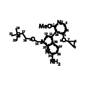 COc1nccc(OC2CC2)c1-c1cn(COCC[Si](C)(C)C)c2nc(N)ccc12